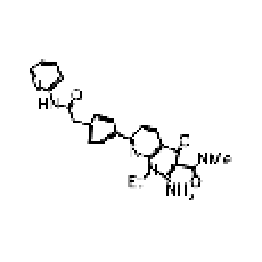 CCn1c(N)c(C(=O)NC)c(=O)c2ccc(-c3ccc(CC(=O)Nc4ccccn4)cc3)nc21